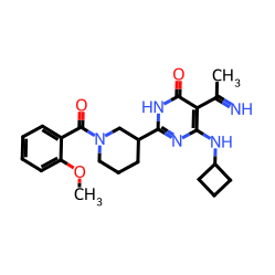 COc1ccccc1C(=O)N1CCCC(c2nc(NC3CCC3)c(C(C)=N)c(=O)[nH]2)C1